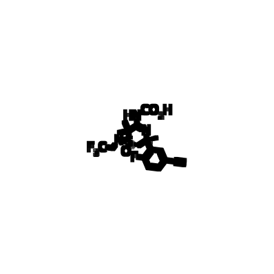 C#Cc1ccc(F)c([C@]2(C)C[S@](=O)(=NCC(F)(F)F)C(C)(C)C(NC(=O)O)=N2)c1